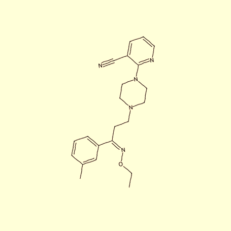 CCON=C(CCN1CCN(c2ncccc2C#N)CC1)c1cccc(C)c1